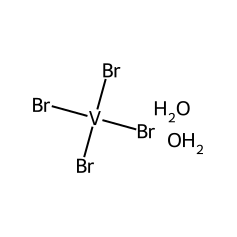 O.O.[Br][V]([Br])([Br])[Br]